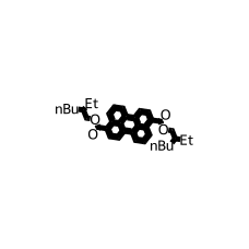 CCCCC(CC)COC(=O)c1ccc2c3cccc4c(C(=O)OCC(CC)CCCC)ccc(c5cccc1c52)c43